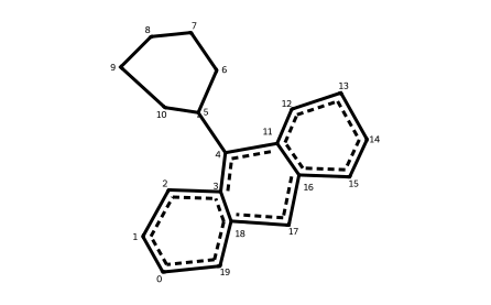 c1ccc2c([C]3CCCCC3)c3ccccc3cc2c1